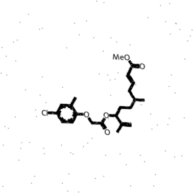 C=C(C)C(CCC(C)CC=CC(=O)OC)OC(=O)COc1ccc(Cl)cc1C